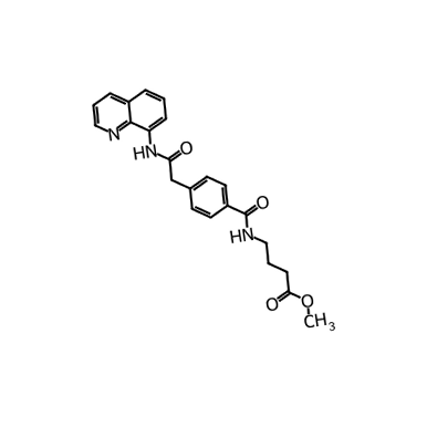 COC(=O)CCCNC(=O)c1ccc(CC(=O)Nc2cccc3cccnc23)cc1